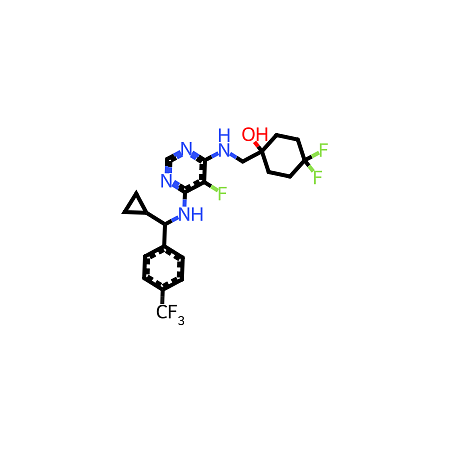 OC1(CNc2ncnc(NC(c3ccc(C(F)(F)F)cc3)C3CC3)c2F)CCC(F)(F)CC1